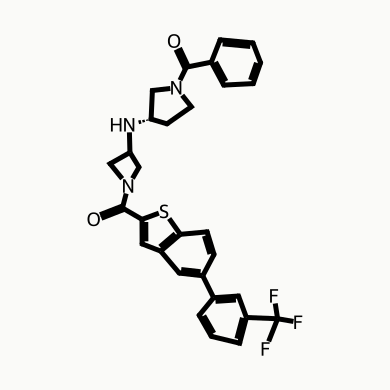 O=C(c1ccccc1)N1CC[C@H](NC2CN(C(=O)c3cc4cc(-c5cccc(C(F)(F)F)c5)ccc4s3)C2)C1